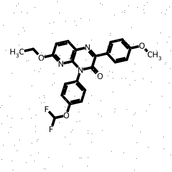 CCOc1ccc2nc(-c3ccc(OC)cc3)c(=O)n(-c3ccc(OC(F)F)cc3)c2n1